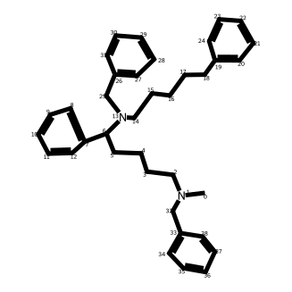 CN(CCCCC(c1ccccc1)N(CCCCCc1ccccc1)Cc1ccccc1)Cc1ccccc1